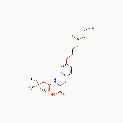 CCOC(=O)CCCOc1ccc(CC(NC(=O)OC(C)(C)C)C(=O)O)cc1